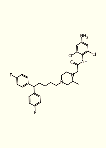 CC1CN(CCCCC(c2ccc(F)cc2)c2ccc(F)cc2)CCN1CC(=O)Nc1c(Cl)cc(N)cc1Cl